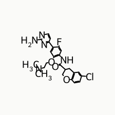 CN(C)CCOc1cc(-c2ccnc(N)n2)c(F)cc1NC(=O)C1COc2ccc(Cl)cc2C1